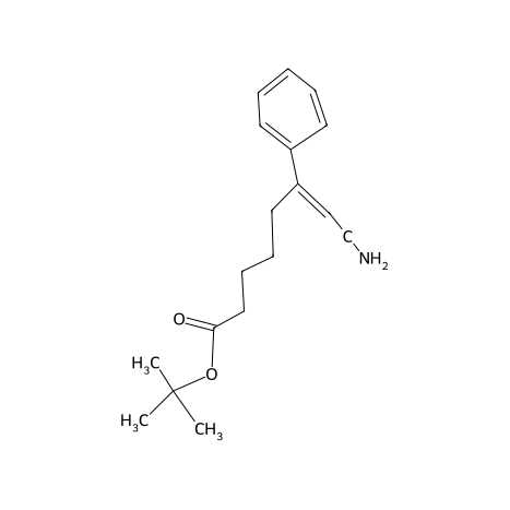 CC(C)(C)OC(=O)CCCCC(=CCN)c1ccccc1